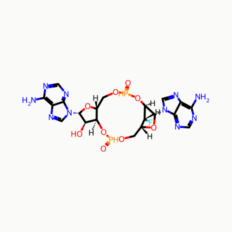 Nc1ncnc2c1ncn2[C@@H]1O[C@@H]2CO[PH](=O)O[C@@H]3[C@H](F)[C@@H](CO[PH](=O)O[C@H]2[C@H]1O)O[C@H]3n1cnc2c(N)ncnc21